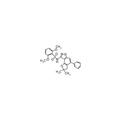 COc1cccc(OC)c1S(=O)(=O)Nc1noc2cc(-c3ccccc3)c3c(c12)OC(C)(C)C3